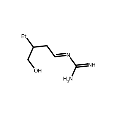 CCC(CO)CC=NC(=N)N